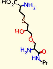 CC(C)NC(=O)C(N)COCC(O)CSCC[C@H](N)C(=O)O